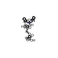 COc1cc(C(C)O)c([N+](=O)[O-])cc1OCCN(C)CCNC(=O)C(CS(=O)(=O)O)NC1=C(/C=C2/N(C)c3ccccc3C2(C)C)C(=O)/C1=C\C1=Nc2ccccc2C1(C)C